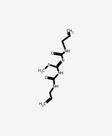 C=CCNC(=O)N=C(NC(=O)NCC=C)SC